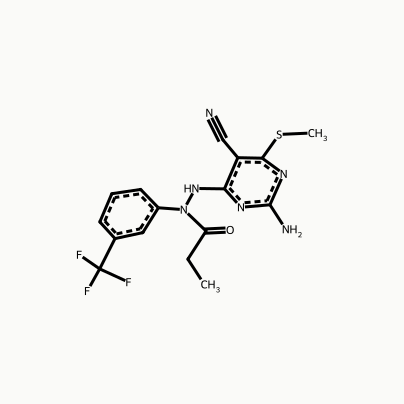 CCC(=O)N(Nc1nc(N)nc(SC)c1C#N)c1cccc(C(F)(F)F)c1